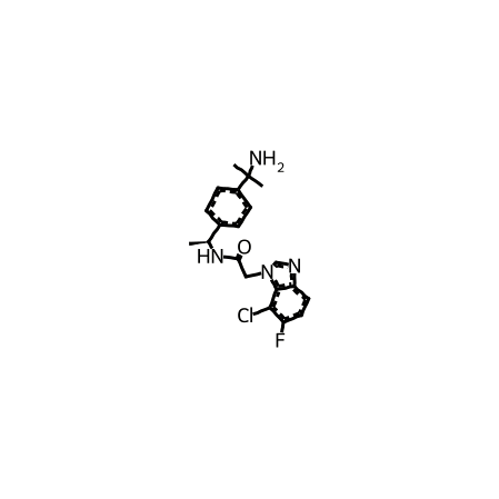 C[C@H](NC(=O)Cn1cnc2ccc(F)c(Cl)c21)c1ccc(C(C)(C)N)cc1